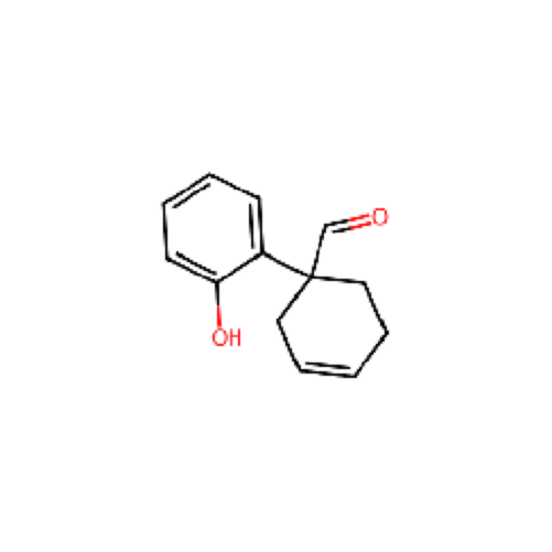 O=CC1(c2ccccc2O)CC=CCC1